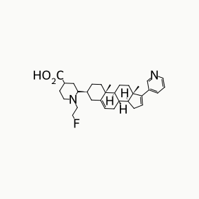 C[C@]12CC[C@H](C3CC(C(=O)O)CCN3CCF)CC1=CC[C@@H]1[C@@H]2CC[C@]2(C)C(c3cccnc3)=CC[C@@H]12